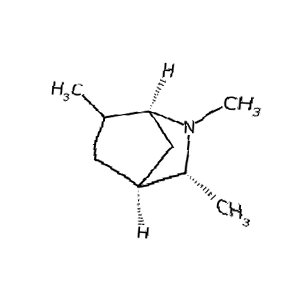 CC1C[C@H]2C[C@@H]1N(C)[C@@H]2C